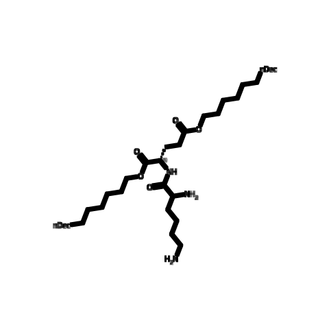 CCCCCCCCCCCCCCCCOC(=O)CC[C@H](NC(=O)C(N)CCCCN)C(=O)OCCCCCCCCCCCCCCCC